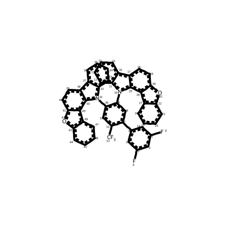 Fc1cc(F)cc(-c2cc(-n3c4ccccc4c4ccc5oc6ccccc6c5c43)c(-n3c4ccccc4c4ccc5oc6ccccc6c5c43)cc2C(F)(F)F)c1